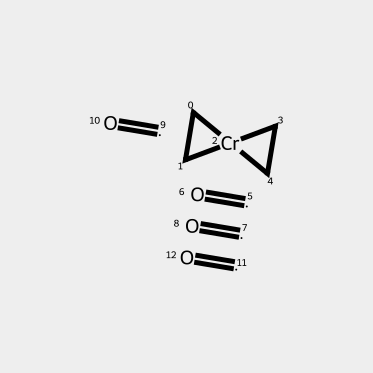 [CH2]1[CH2][Cr]12[CH2][CH2]2.[C]=O.[C]=O.[C]=O.[C]=O